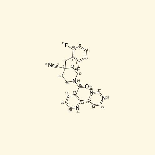 N#CC1(Cc2c(F)cccc2F)CCN(C(=O)c2cccnc2-c2ccncn2)CC1